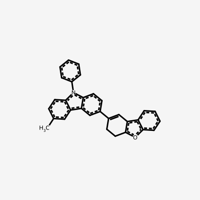 Cc1ccc2c(c1)c1cc(C3=Cc4c(oc5ccccc45)CC3)ccc1n2-c1ccccc1